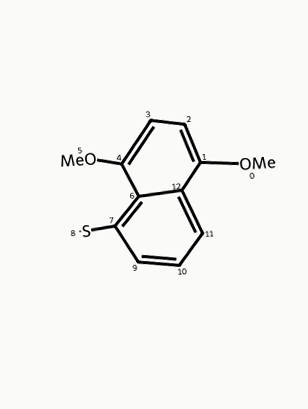 COc1ccc(OC)c2c([S])cccc12